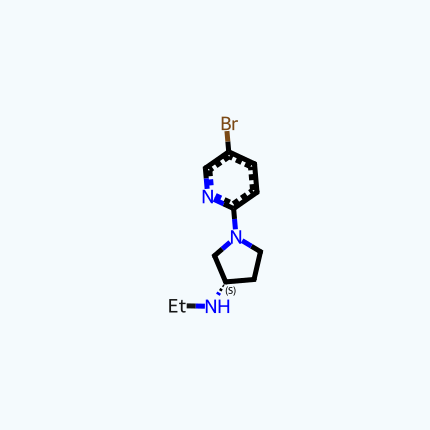 CCN[C@H]1CCN(c2ccc(Br)cn2)C1